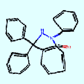 O=CN(NC(c1ccccc1)(c1ccccc1)c1ccccc1)c1ccccc1